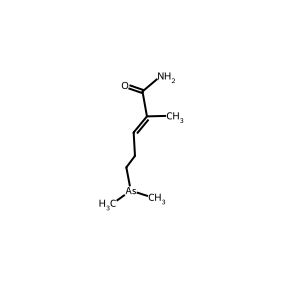 C/C(=C\CC[As](C)C)C(N)=O